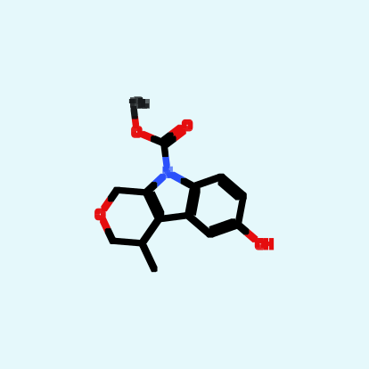 CC1COCc2c1c1cc(O)ccc1n2C(=O)OC(C)(C)C